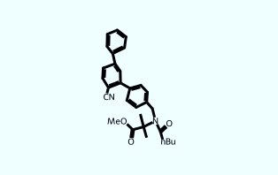 CCCCC(=O)N(Cc1ccc(-c2cc(-c3ccccc3)ccc2C#N)cc1)C(C)(C)C(=O)OC